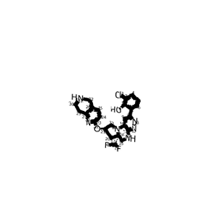 Oc1c(Cl)cccc1-c1cc2c(nn1)NC[C@@]1(C(F)F)C[C@@H](Oc3ccc4c(n3)CCNC4)CN21